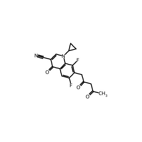 CC(=O)CC(=O)Cc1c(F)cc2c(=O)c(C#N)cn(C3CC3)c2c1F